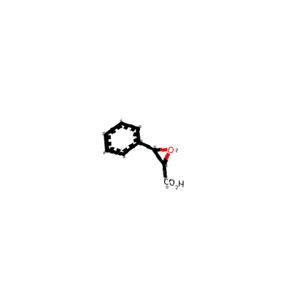 O=C(O)C1OC1c1ccccc1